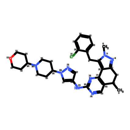 CC1Cc2nn(C)c(Cc3ccccc3Cl)c2-c2nc(Nc3cnn(C4CCN(C5CCOCC5)CC4)c3)ncc21